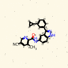 Cc1cc(C#N)cnc1C(=O)Nc1ccc2[nH]nc(-c3cccc(C4CC4)c3)c2c1